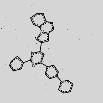 c1ccc(-c2ccc(-c3cc(-c4cc5ccc6ccccc6n5n4)nc(-c4ccccc4)n3)cc2)cc1